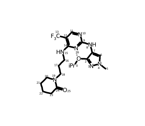 CC(C)Oc1nn(C)cc1Nc1ncc(C(F)(F)F)c(NCCCN2CCCCC2=O)n1